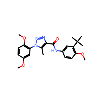 COc1ccc(OC)c(-n2nnc(C(=O)Nc3ccc(OC)c(C(C)(C)C)c3)c2C)c1